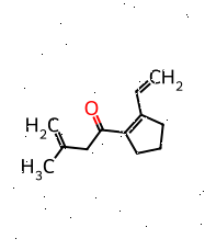 C=CC1=C(C(=O)CC(=C)C)CCC1